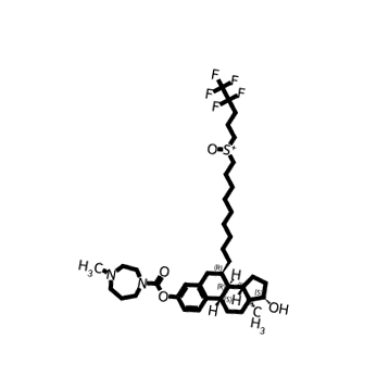 CN1CCCN(C(=O)Oc2ccc3c(c2)C[C@@H](CCCCCCCCC[S+]([O-])CCCC(F)(F)C(F)(F)F)[C@@H]2[C@@H]3CC[C@]3(C)[C@@H](O)CC[C@@H]23)CC1